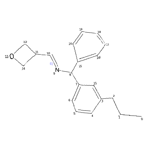 CCCc1cccc(C(/N=C/C2COC2)c2ccccc2)c1